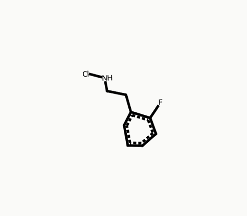 Fc1ccccc1CCNCl